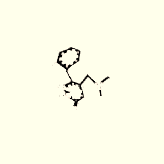 CN(C)Cc1cc(=O)[nH]nc1-c1ccccc1